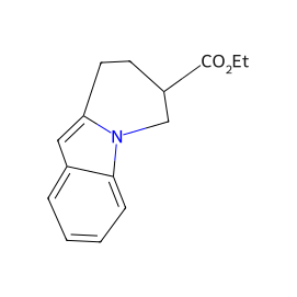 CCOC(=O)C1CCc2cc3ccccc3n2C1